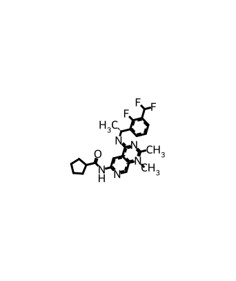 Cc1n/c(=N\[C@H](C)c2cccc(C(F)F)c2F)c2cc(NC(=O)C3CCCC3)ncc2n1C